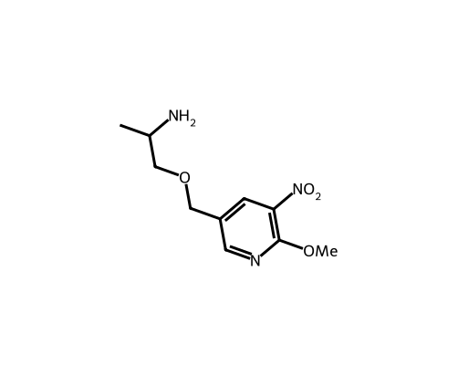 COc1ncc(COCC(C)N)cc1[N+](=O)[O-]